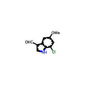 COc1cc(Cl)c2[nH]cc(C=O)c2c1